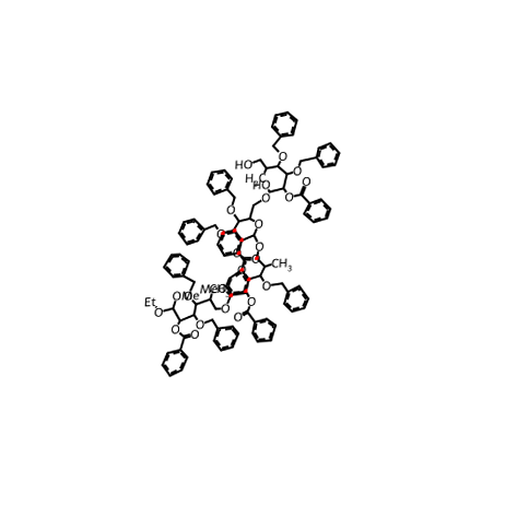 CCOC(OC)C(OC(=O)c1ccccc1)C(OCc1ccccc1)C(OCc1ccccc1)C(C)COC(OC)C(OC(=O)c1ccccc1)C(OCc1ccccc1)C(OCc1ccccc1)C(C)COC1OC(COC(O)C(OC(=O)c2ccccc2)C(OCc2ccccc2)C(OCc2ccccc2)C(C)CO)C(OCc2ccccc2)C(OCc2ccccc2)C1OC(=O)c1ccccc1